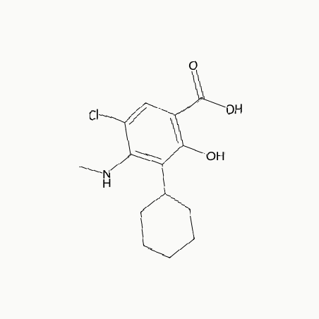 CNc1c(Cl)cc(C(=O)O)c(O)c1C1CCCCC1